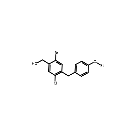 CCOc1ccc(Cc2cc(Br)c(CO)cc2Cl)cc1